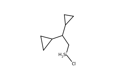 Cl[SiH2]CC(C1CC1)C1CC1